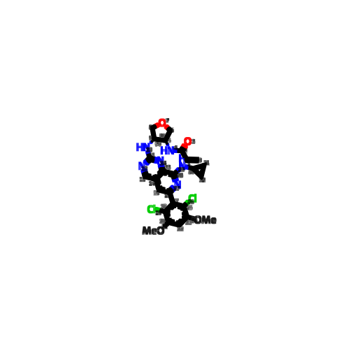 C=CC(=O)N[C@H]1COC[C@H]1Nc1ncc2cc(-c3c(Cl)c(OC)cc(OC)c3Cl)nc(NC3CC3)c2n1